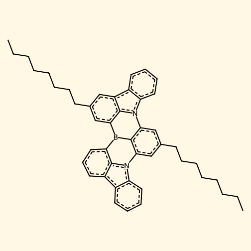 CCCCCCCCc1cc2c3c(c1)-n1c4ccccc4c4cc(CCCCCCCC)cc(c41)B3c1cccc3c4ccccc4n-2c13